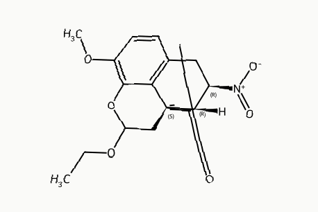 CCOC1C[C@]23C=CC(=O)C[C@H]2[C@H]([N+](=O)[O-])Cc2ccc(OC)c(c23)O1